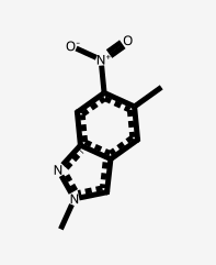 Cc1cc2cn(C)nc2cc1[N+](=O)[O-]